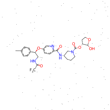 Cc1ccc([C@@H](Oc2ccc(C(=O)N[C@H]3CCCN(C(=O)O[C@@H]4CCOC4O)C3)nc2)[C@H](C)NC(=O)C(F)(F)F)cc1